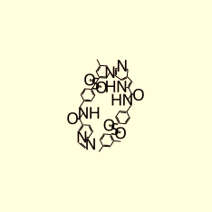 Cc1ccc(S(=O)(=O)c2ccc(CNC(=O)c3cc4cnccc4[nH]3)cc2)c(C)c1.Cc1cncc(S(=O)(=O)c2ccc(CNC(=O)c3ccc4nccn4c3)cc2)c1